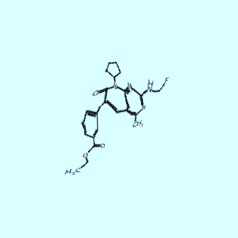 CCOC(=O)c1cccc(-c2cc3c(C)nc(NCF)nc3n(C3CCCC3)c2=O)c1